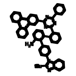 CC(C)(C)c1nc2ccccc2n1-c1ccc(-c2c(N)cccc2-c2ccccc2-c2nc(-c3ccccc3)nc(-c3ccc4c5ccccc5c5ccccc5c4c3)n2)cc1